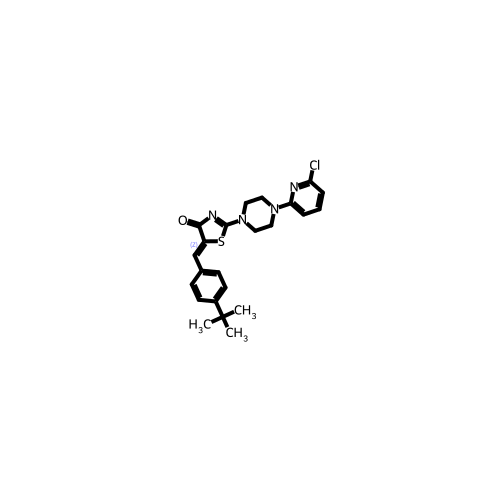 CC(C)(C)c1ccc(/C=C2\SC(N3CCN(c4cccc(Cl)n4)CC3)=NC2=O)cc1